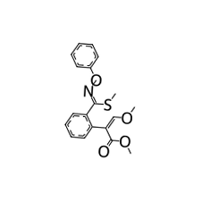 COC=C(C(=O)OC)c1ccccc1C(=NOc1ccccc1)SC